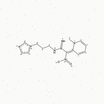 CN1C=CC=C/C1=C(/C(=N)NCCCn1ccnc1)[N+](=O)[O-]